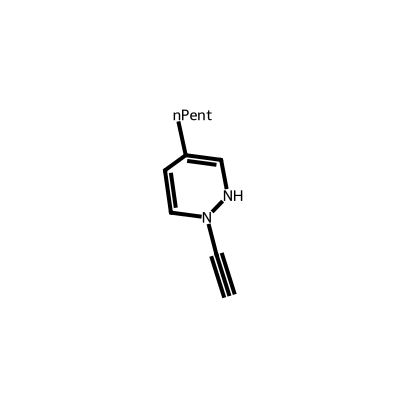 C#CN1C=CC(CCCCC)=CN1